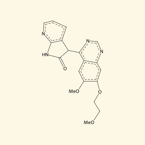 COCCOc1cc2ncnc(C3C(=O)Nc4ncccc43)c2cc1OC